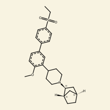 CCS(=O)(=O)c1ccc(-c2ccc(OC)c(C3CCN([C@H]4C[C@H]5CC[C@H]4C5)CC3)c2)cc1